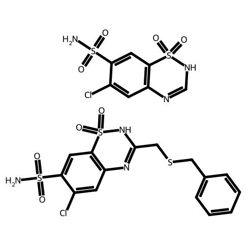 NS(=O)(=O)c1cc2c(cc1Cl)N=C(CSCc1ccccc1)NS2(=O)=O.NS(=O)(=O)c1cc2c(cc1Cl)N=CNS2(=O)=O